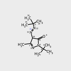 CC1=NN(C(C)(C)C)C(=O)C1/N=N/C(C)(C)C